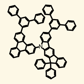 c1ccc(-c2cc(-c3ccccc3)cc(-c3ccc4c5ccccc5c5ccc(-n6c7ccc(-c8cc(-c9ccccc9)cc(-c9ccccc9)c8)cc7c7cc8c(cc76)C(c6ccccc6)(c6ccccc6)c6ccccc6-8)cc5c4c3)c2)cc1